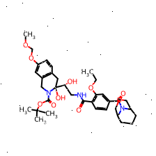 CCOc1cc(C(=O)N2C3CCCC2COC3)ccc1C(=O)NC[C@@H](O)[C@@]1(O)Cc2ccc(OCOC)cc2CN1C(=O)OC(C)(C)C